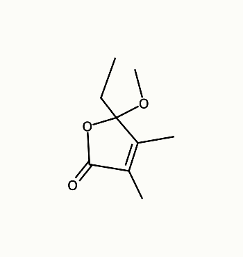 CCC1(OC)OC(=O)C(C)=C1C